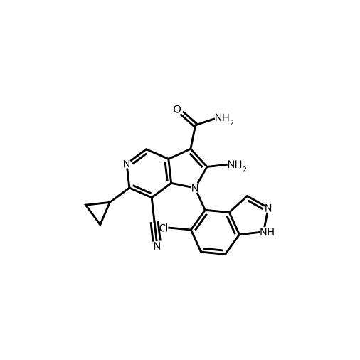 N#Cc1c(C2CC2)ncc2c(C(N)=O)c(N)n(-c3c(Cl)ccc4[nH]ncc34)c12